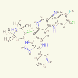 CC1(C)CC(n2cc(C(Nc3cc(Cl)c4ncc(C#N)c(Nc5ccc(F)c(Cl)c5)c4c3)c3cccnc3)nn2)CC(C)(C)N1